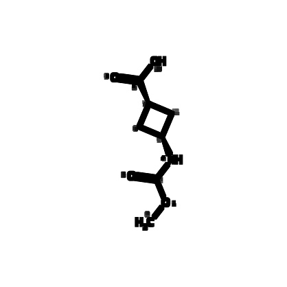 COC(=O)N[C@H]1C[C@@H](C(=O)O)C1